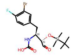 CC(C)(C)[Si](C)(C)O[C@H](C=O)[C@H](Cc1ccc(F)c(Br)c1)NC(=O)O